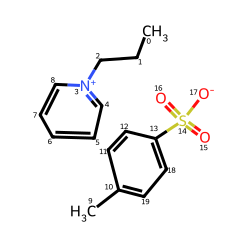 CCC[n+]1ccccc1.Cc1ccc(S(=O)(=O)[O-])cc1